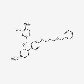 COc1ccc(COC2CN(C(=O)O)CCC2c2ccc(OCCCOCc3ccccc3)cc2)cc1Cl